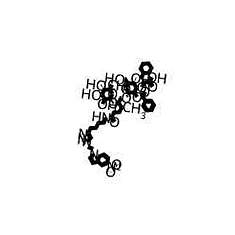 CC(CCC(=O)NCCCCc1cn(CCn2ccc3cc([N+](=O)[O-])ccc32)nn1)C(CO[C@@H]1OC(CO)[C@H](O)C(O[C@@H](CC2CCCCC2)C(=O)O)C1OC(=O)c1ccccc1)O[C@@H]1OC(C)[C@@H](O)C(O)C1O